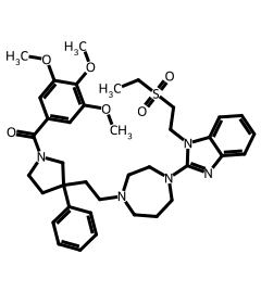 CCS(=O)(=O)CCn1c(N2CCCN(CCC3(c4ccccc4)CCN(C(=O)c4cc(OC)c(OC)c(OC)c4)C3)CC2)nc2ccccc21